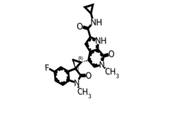 CN1C(=O)[C@]2(C[C@@H]2c2cn(C)c(=O)c3[nH]c(C(=O)NC4CC4)cc23)c2cc(F)ccc21